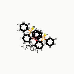 C[Si]1(C)c2cccc(P(=S)(c3ccccc3)c3ccccc3)c2Oc2c1cccc2P(=S)(c1ccccc1)c1ccccc1